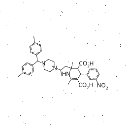 CC1=C(C(=O)O)C(c2cccc([N+](=O)[O-])c2)C(C(=O)O)C(C)(CC(C)N2CCN(C(c3ccc(C)cc3)c3ccc(C)cc3)CC2)N1